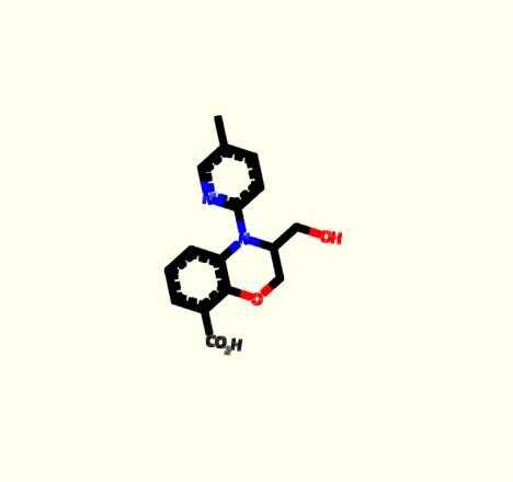 Cc1ccc(N2c3cccc(C(=O)O)c3OCC2CO)nc1